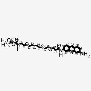 CC(C)(C)OC(=O)NCCOCCOCCOCCOCCC(=O)Nc1ccc2cc3ccc(N)cc3nc2c1